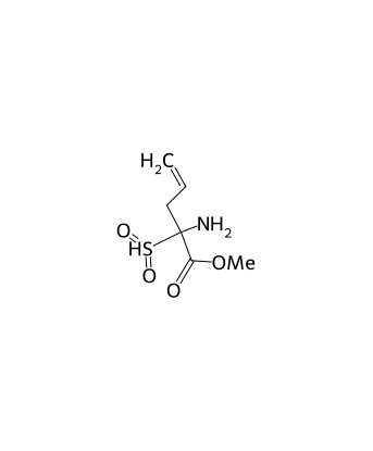 C=CCC(N)(C(=O)OC)[SH](=O)=O